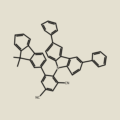 CC1(C)c2ccccc2-c2ccc(-c3cc(C#N)cc(C#N)c3-n3c4ccc(-c5ccccc5)cc4c4cc(-c5ccccc5)ccc43)cc21